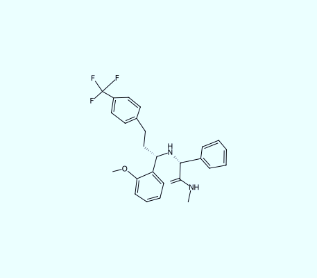 C=C(NC)[C@H](N[C@@H](CCc1ccc(C(F)(F)F)cc1)c1ccccc1OC)c1ccccc1